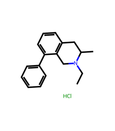 CCN1Cc2c(cccc2-c2ccccc2)CC1C.Cl